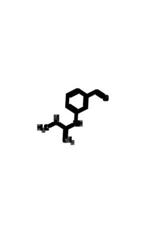 C=C(NC)Nc1cccc(C=O)c1